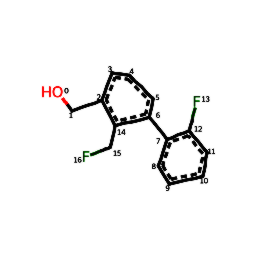 OCc1cccc(-c2ccccc2F)c1CF